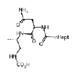 CCCCCCCC(=O)N[C@H](CC(N)=O)C(=O)N[C@@H](C)CNC(=O)O